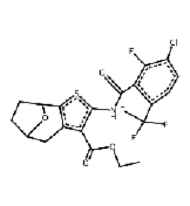 CCOC(=O)c1c(NC(=O)c2c(C(F)(F)F)ccc(Cl)c2F)sc2c1CC1CCC2O1